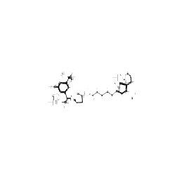 COc1cc(CCCCCO[C@@H]2CCN(C(C(=O)O)c3cc(C(C)(F)F)cc(F)c3OC)C2)nc2c1CCCN2